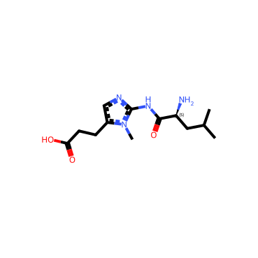 CC(C)C[C@H](N)C(=O)Nc1ncc(CCC(=O)O)n1C